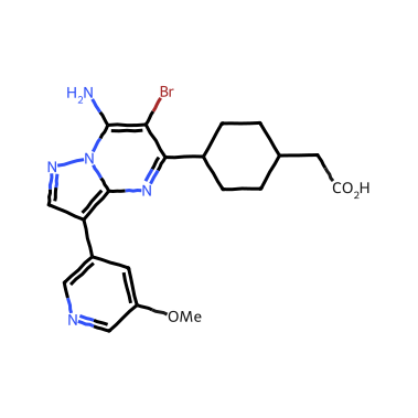 COc1cncc(-c2cnn3c(N)c(Br)c(C4CCC(CC(=O)O)CC4)nc23)c1